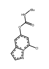 CC(C)(C)NC(=O)Oc1cc(Cl)n2nccc2c1